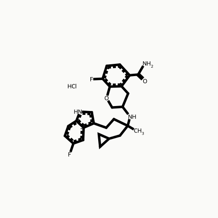 CC(CCc1c[nH]c2ccc(F)cc12)(CC1CC1)NC1COc2c(F)ccc(C(N)=O)c2C1.Cl